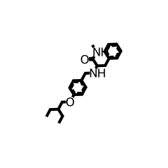 CCC(CC)COc1ccc(CNC(Cc2ccccc2)C(=O)NC)cc1